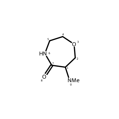 CNC1COCCNC1=O